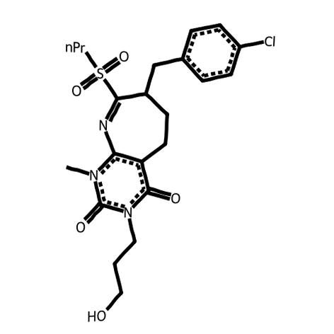 CCCS(=O)(=O)C1=Nc2c(c(=O)n(CCCO)c(=O)n2C)CCC1Cc1ccc(Cl)cc1